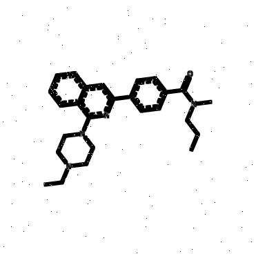 CCCN(C)C(=O)c1ccc(-c2cc3ccccc3c(N3CCN(CC)CC3)n2)cc1